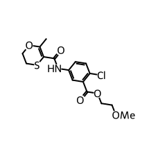 COCCOC(=O)c1cc(NC(=O)C2=C(C)OCCS2)ccc1Cl